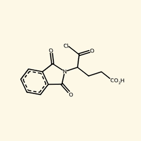 O=C(O)CCC(C(=O)Cl)N1C(=O)c2ccccc2C1=O